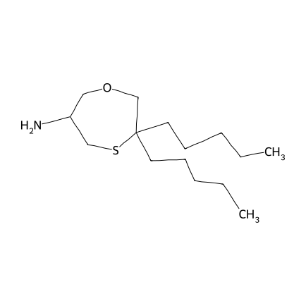 CCCCCC1(CCCCC)COCC(N)CS1